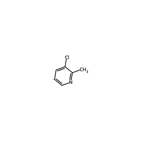 Cc1nc[c]cc1Cl